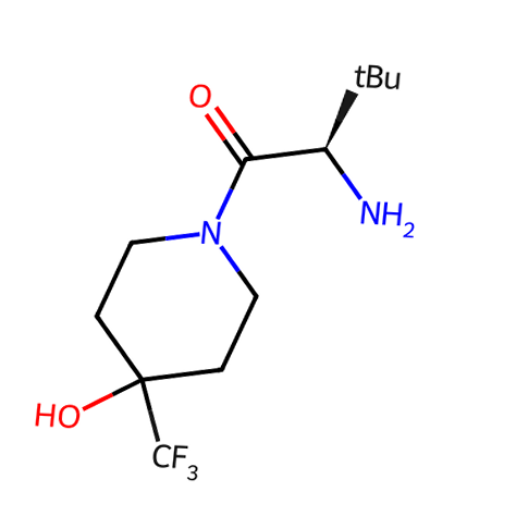 CC(C)(C)[C@@H](N)C(=O)N1CCC(O)(C(F)(F)F)CC1